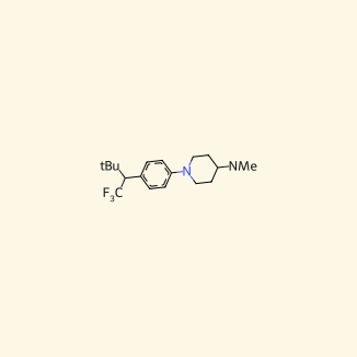 CNC1CCN(c2ccc(C(C(C)(C)C)C(F)(F)F)cc2)CC1